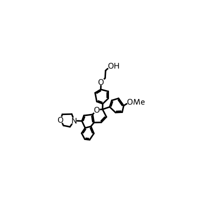 COc1ccc(C2(c3ccc(OCCO)cc3)C=Cc3c(cc(N4CCOCC4)c4ccccc34)O2)cc1